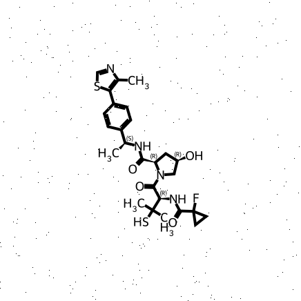 Cc1ncsc1-c1ccc([C@H](C)NC(=O)[C@H]2C[C@@H](O)CN2C(=O)[C@@H](NC(=O)C2(F)CC2)C(C)(C)S)cc1